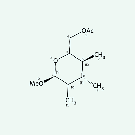 CO[C@H]1OC(COC(C)=O)[C@@H](C)[C@H](C)C1C